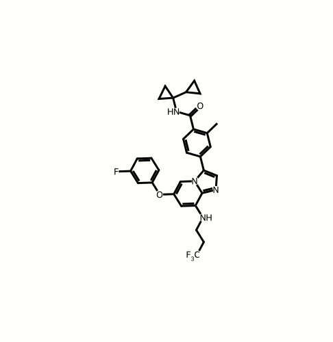 Cc1cc(-c2cnc3c(NCCC(F)(F)F)cc(Oc4cccc(F)c4)cn23)ccc1C(=O)NC1(C2CC2)CC1